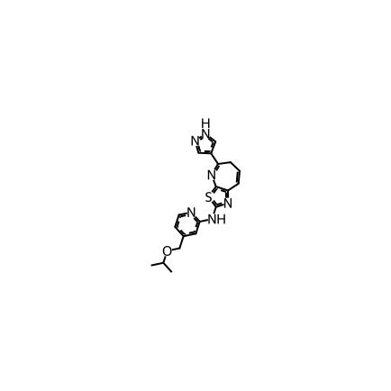 CC(C)OCc1ccnc(Nc2nc3c(s2)N=C(c2cn[nH]c2)CC=C3)c1